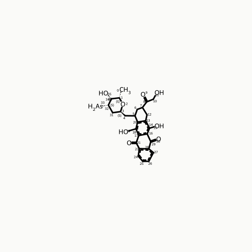 C[C@@H]1O[C@@H](CC2CC(C(=O)CO)Cc3c(O)c4c(c(O)c32)C(=O)c2ccccc2C4=O)C[C@H]([AsH2])[C@@H]1O